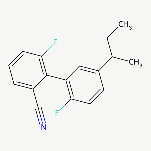 CCC(C)c1ccc(F)c(-c2c(F)cccc2C#N)c1